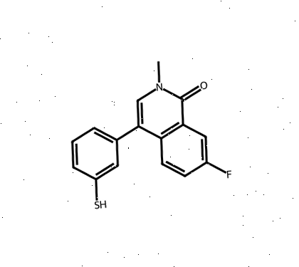 Cn1cc(-c2cccc(S)c2)c2ccc(F)cc2c1=O